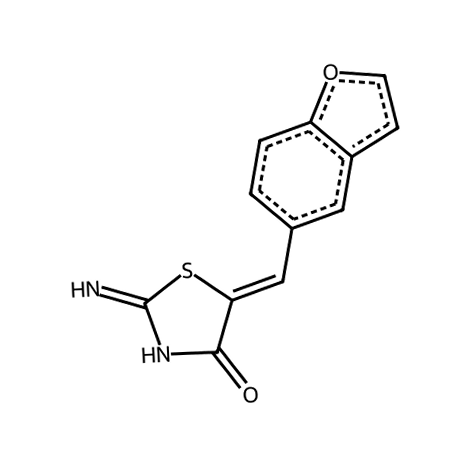 N=C1NC(=O)/C(=C/c2ccc3occc3c2)S1